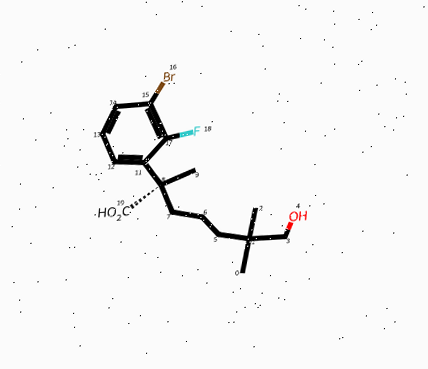 CC(C)(CO)CCC[C@@](C)(C(=O)O)c1cccc(Br)c1F